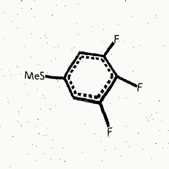 CSc1cc(F)c(F)c(F)c1